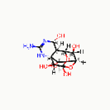 NC1=N[C@H](O)[C@H]2[C@H]3O[C@]4(O)O[C@H]([C@H]3O)[C@@H](O)[C@@]2(N1)[C@H]4O